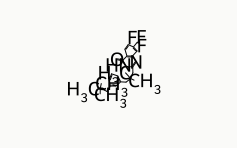 CC(C)(C)Cc1cccc(CC(C)(C)Cc2nc3cc(C(F)(F)F)ccc3c(=O)[nH]2)c1